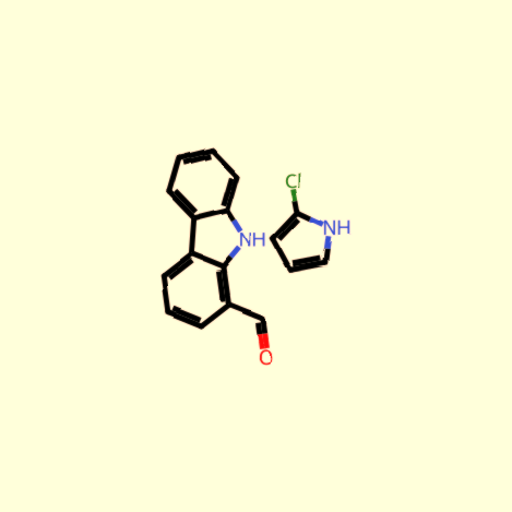 Clc1ccc[nH]1.O=Cc1cccc2c1[nH]c1ccccc12